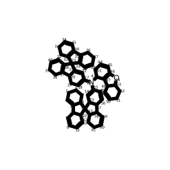 C1=CC2C3=CCCCC3C3(C2C=C1)C1C=C(N(C2=CCC4C(=C2)C2(C5=C(CCC=C5)C5=C2CCC=C5)C2=C4CCC=C2)C2CC=CC4=C2C2C=CCCC2O4)C=CC1C1C=CCCC13